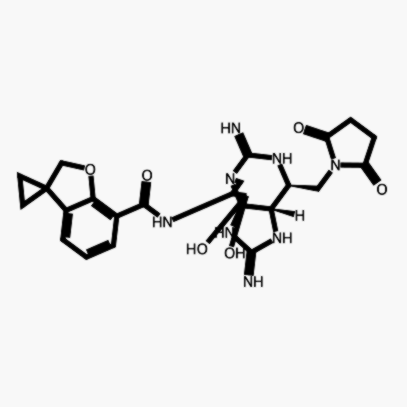 N=C1N[C@H]2[C@H](CN3C(=O)CCC3=O)NC(=N)N3CC(NC(=O)c4cccc5c4OCC54CC4)C(O)(O)C23N1